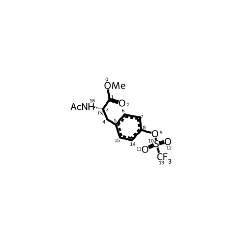 COC(=O)[C@H](Cc1ccc(OS(=O)(=O)C(F)(F)F)cc1)NC(C)=O